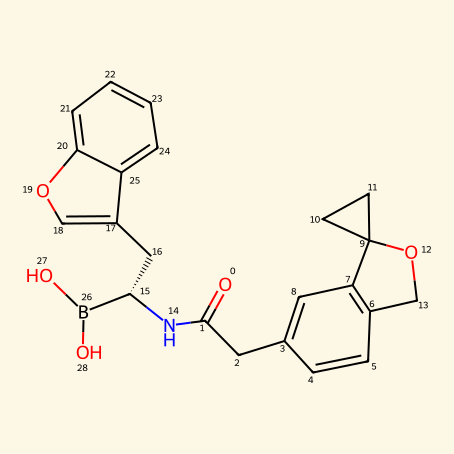 O=C(Cc1ccc2c(c1)C1(CC1)OC2)N[C@@H](Cc1coc2ccccc12)B(O)O